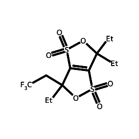 CCC1(CC)OS(=O)(=O)C2=C1S(=O)(=O)OC2(CC)CC(F)(F)F